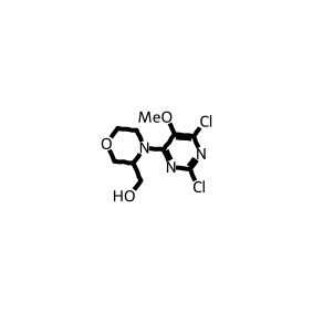 COc1c(Cl)nc(Cl)nc1N1CCOCC1CO